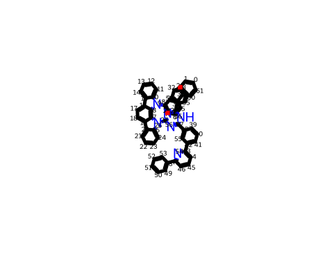 c1ccc(-c2cccc(-n3c4ccccc4c4ccc5c6ccccc6n(C6=NC(c7ccccc7)NC(c7cccc(-c8cccc(-c9ccccc9)n8)c7)=N6)c5c43)c2)cc1